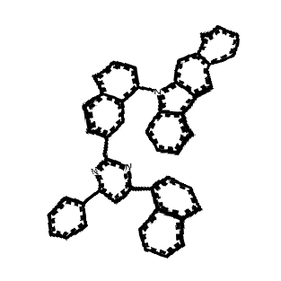 c1ccc(-c2cc(-c3cccc4ccccc34)nc(-c3ccc4cccc(-n5c6ccccc6c6cc7ccccc7cc65)c4c3)n2)cc1